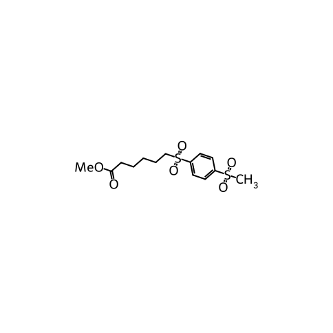 COC(=O)CCCCCS(=O)(=O)c1ccc(S(C)(=O)=O)cc1